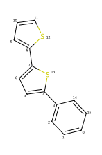 c1ccc(-c2ccc(-c3cccs3)s2)cc1